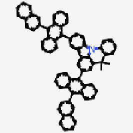 CC1(C)c2ccccc2-n2c3ccc(-c4c5ccccc5c(-c5ccc6ccccc6c5)c5ccccc45)cc3c3cc(-c4c5ccccc5c(-c5ccc6ccccc6c5)c5ccccc45)cc1c32